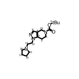 CC(C)(C)OC(=O)N1CCc2c(cnn2CCN2CCCC2)C1